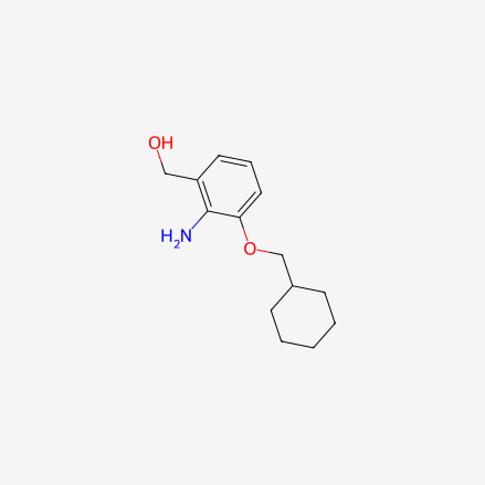 Nc1c(CO)cccc1OCC1CCCCC1